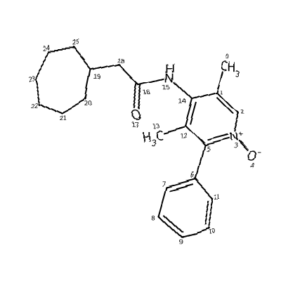 Cc1c[n+]([O-])c(-c2ccccc2)c(C)c1NC(=O)CC1CCCCCC1